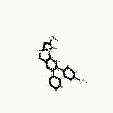 Cc1cc2ncc3cc(-c4ccccc4)c(-c4ccc(C=O)cc4)nc3n2n1